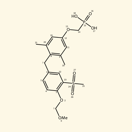 COCOc1ccc(Cc2c(C)cc(OCP(=O)(O)O)cc2C)cc1S(C)(=O)=O